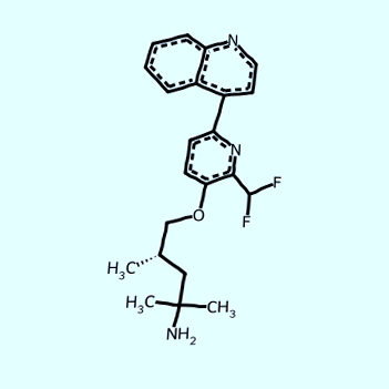 C[C@H](COc1ccc(-c2ccnc3ccccc23)nc1C(F)F)CC(C)(C)N